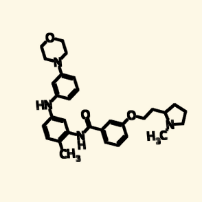 Cc1ccc(Nc2cccc(N3CCOCC3)c2)cc1NC(=O)c1cccc(OCCC2CCCN2C)c1